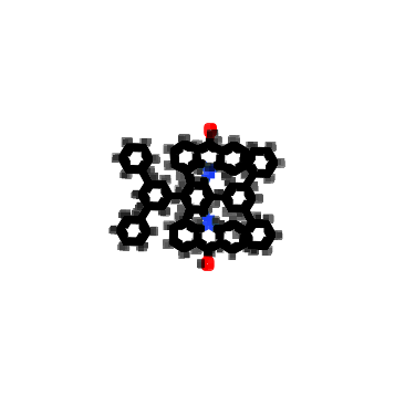 O=c1c2ccccc2n2c3c(-c4cc(-c5ccccc5)cc(-c5ccccc5)c4)c4c(c(-c5cc(-c6ccccc6)cc(-c6ccccc6)c5)c3c3cccc1c32)c1cccc2c(=O)c3ccccc3n4c21